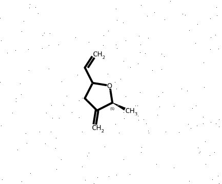 C=CC1CC(=C)[C@H](C)O1